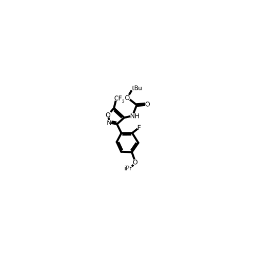 CC(C)Oc1ccc(-c2noc(C(F)(F)F)c2NC(=O)OC(C)(C)C)c(F)c1